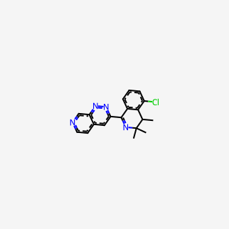 CC1c2c(Cl)cccc2C(c2cc3ccncc3nn2)=NC1(C)C